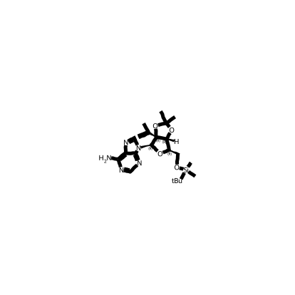 C=C(C)[C@@]12OC(C)(C)O[C@@H]1[C@@H](CO[Si](C)(C)C(C)(C)C)O[C@H]2n1cnc2c(N)ncnc21